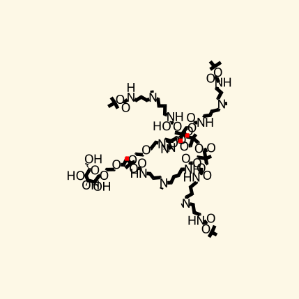 CN(CCCCNC(=O)OCC(C)(COC(=O)NCCCCN(C)CCCNC(=O)OC(C)(C)C)C(=O)OCC(C)(COC(=O)C(C)(COC(=O)NCCCCN(C)CCCNC(=O)OC(C)(C)C)COC(O)NCCCCN(C)CCCNC(=O)OC(C)(C)C)C(=O)OCc1cn(CCOCCOCCOCCO[C@H]2O[C@@H](CO)[C@@H](O)[C@@H](O)[C@H]2O)nn1)CCCNC(=O)OC(C)(C)C